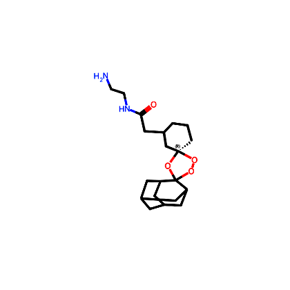 NCCNC(=O)CC1CCC[C@]2(C1)OOC1(O2)C2CC3CC(C2)CC1C3